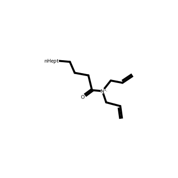 C=CC[N+](CC=C)C(=O)CCCCCCCCCC